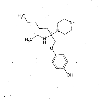 CCCCCC(COc1ccc(O)cc1)(NCC)N1CCNCC1